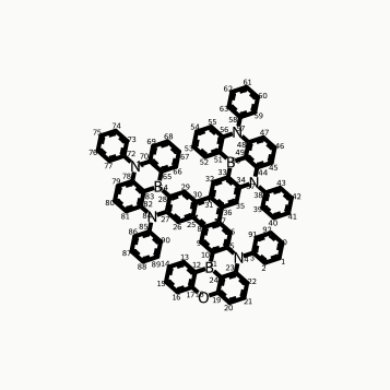 c1ccc(N2c3cc4c(cc3B3c5ccccc5Oc5cccc2c53)c2cc3c(cc2c2cc5c(cc24)N(c2ccccc2)c2cccc4c2B5c2ccccc2N4c2ccccc2)B2c4ccccc4N(c4ccccc4)c4cccc(c42)N3c2ccccc2)cc1